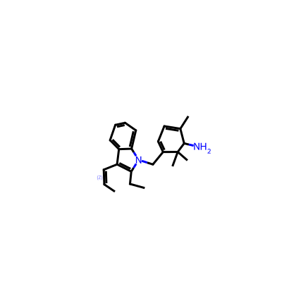 C/C=C\c1c(CC)n(CC2=CC=C(C)C(N)C2(C)C)c2ccccc12